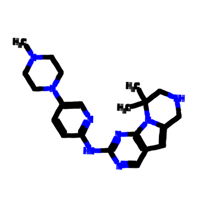 CN1CCN(c2ccc(Nc3ncc4cc5n(c4n3)C(C)(C)CNC5)nc2)CC1